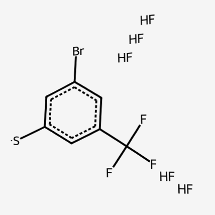 F.F.F.F.F.FC(F)(F)c1cc([S])cc(Br)c1